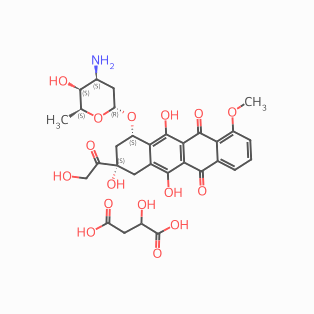 COc1cccc2c1C(=O)c1c(O)c3c(c(O)c1C2=O)C[C@@](O)(C(=O)CO)C[C@@H]3O[C@H]1C[C@H](N)[C@H](O)[C@H](C)O1.O=C(O)CC(O)C(=O)O